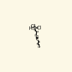 Cl[SiH](Cl)CCCCCCCI